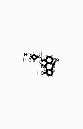 CC1(O)CC(Nc2nnc(-c3c(O)cccc3C#CBr)c3ccccc23)C1